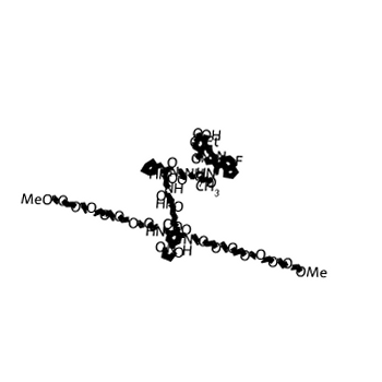 CC[C@@]1(O)C(=O)OCc2c1cc1n(c2=O)Cc2c-1nc1cc(F)c3c(c1c2CNC(=O)[C@H](C)OCNC(=O)CNC(=O)[C@H](Cc1ccccc1)NC(=O)CNC(=O)CNC(=O)CCCOc1c(C(=O)NCCOCCOCCOCCOCCOCCOCCOCCOC)cc(N2C(=O)C=CC2=O)cc1C(=O)NCCOCCOCCOCCOCCOCCOCCOCCOC)CCC3